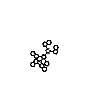 c1ccc(-c2cc(-c3nc(-c4cccc5ccccc45)nc(-c4cccc5ccccc45)n3)cc(-c3ccc4ccccc4c3)c2-n2c3cc4ccccc4cc3c3c4ccccc4ccc32)cc1